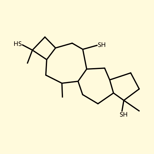 CC1CC2C(CC(S)C3CC4CCC(C)(S)C4CCC13)CC2(C)S